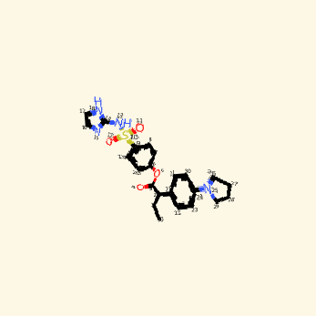 CCC(C(=O)Oc1ccc(S(=O)(=O)Nc2ncc[nH]2)cc1)c1ccc(N2CCCC2)cc1